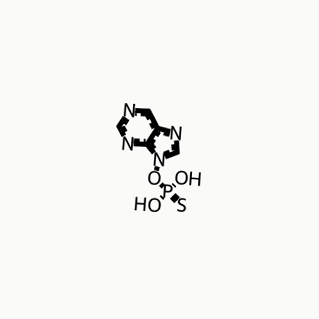 OP(O)(=S)On1cnc2cncnc21